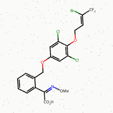 CON=C(C(=O)O)c1ccccc1COc1cc(Cl)c(OCC=C(Br)C(F)(F)F)c(Cl)c1